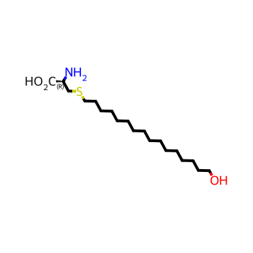 N[C@@H](CSCCCCCCCCCCCCCCCCO)C(=O)O